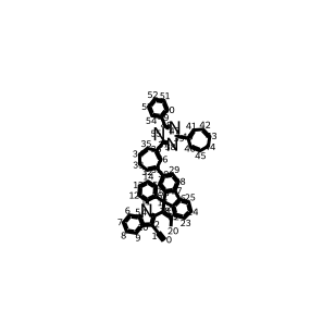 C#Cc1c2n(c3ccccc13)-c1ccccc1C1(/C2=C/C)c2ccccc2-c2ccc(C3=CCC=CC(c4nc(C5=CC=CCC=C5)nc(-c5ccccc5)n4)=C3)cc21